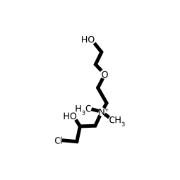 C[N+](C)(CCOCCO)CC(O)CCl